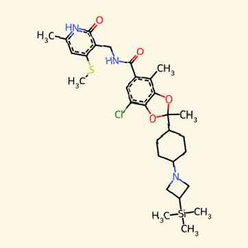 CSc1cc(C)[nH]c(=O)c1CNC(=O)c1cc(Cl)c2c(c1C)OC(C)(C1CCC(N3CC([Si](C)(C)C)C3)CC1)O2